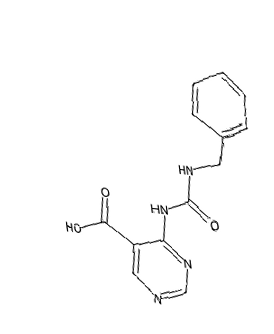 O=C(NCc1ccccc1)Nc1ncncc1C(=O)O